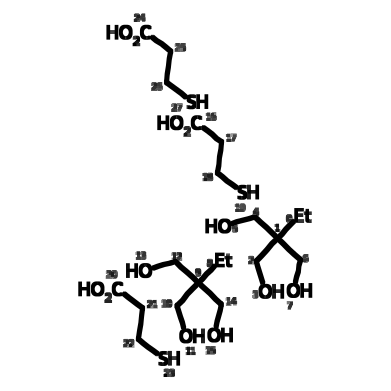 CCC(CO)(CO)CO.CCC(CO)(CO)CO.O=C(O)CCS.O=C(O)CCS.O=C(O)CCS